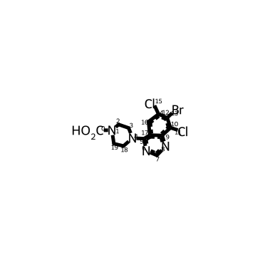 O=C(O)N1CCN(c2ncnc3c(Cl)c(Br)c(Cl)cc23)CC1